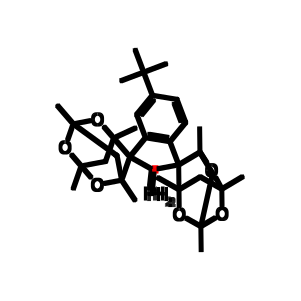 CC12CC3(C)OC(C)(CC(C)(O1)C3(CP)c1ccc(C(C)(C)C)cc1C1(CP)C3(C)CC4(C)OC(C)(CC1(C)O4)O3)O2